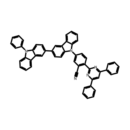 N#Cc1cc(-n2c3ccccc3c3cc(-c4ccc5c(c4)c4ccccc4n5-c4ccccc4)ccc32)ccc1-c1nc(-c2ccccc2)cc(-c2ccccc2)n1